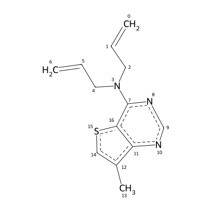 C=CCN(CC=C)c1ncnc2c(C)csc12